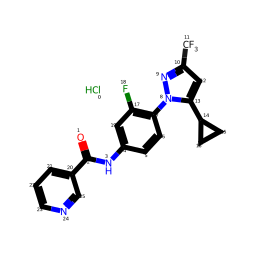 Cl.O=C(Nc1ccc(-n2nc(C(F)(F)F)cc2C2CC2)c(F)c1)c1cccnc1